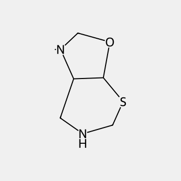 C1[N]C2CNCSC2O1